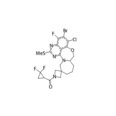 CSc1nc2c3c(c(Cl)c(Br)c(F)c3n1)OCC1CCCC3(CN(C(=O)C4CC4(F)F)C3)CN21